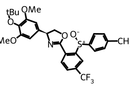 COc1cc([C@H]2COC(c3ccc(C(F)(F)F)cc3[S@@+]([O-])c3ccc(C)cc3)=N2)cc(OC)c1OC(C)(C)C